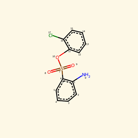 Nc1ccccc1S(=O)(=O)Oc1ccccc1Cl